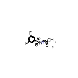 CN(C)/C=N/S(=O)(=O)c1cc(F)cc(F)c1